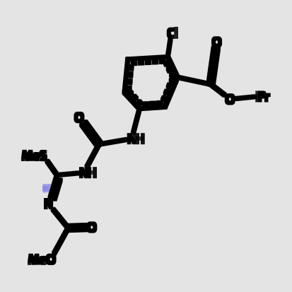 COC(=O)/N=C(\NC(=O)Nc1ccc(Cl)c(C(=O)OC(C)C)c1)SC